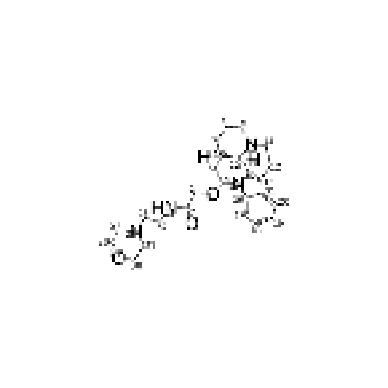 O=C(COC1C[C@H]2CCCN3CCc4c(n1c1ccccc41)[C@@H]23)NCCN1CCOCC1